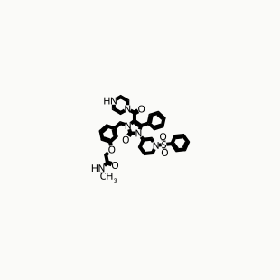 CNC(=O)COc1cccc(Cn2c(C(=O)N3CCNCC3)c(-c3ccccc3)n(C3CCCN(S(=O)(=O)c4ccccc4)C3)c2=O)c1